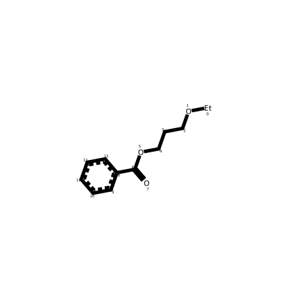 CCOCCCOC(=O)c1ccccc1